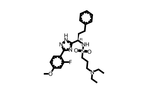 CCN(CC)CCCS(=O)(=O)N[C@H](CCc1ccccc1)c1nc(-c2ccc(OC)cc2F)n[nH]1